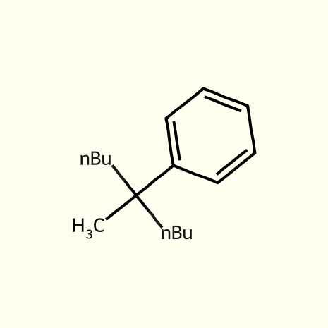 CCCCC(C)(CCCC)c1ccccc1